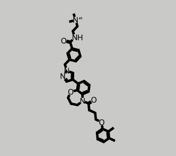 Cc1cccc(OCCCC(=O)N2CCCOc3c(-c4cnn(Cc5cccc(C(=O)NCC[N+](C)(C)C)c5)c4)cccc32)c1C